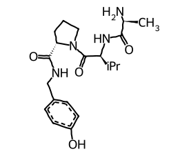 CC(C)[C@H](NC(=O)[C@H](C)N)C(=O)N1CCC[C@H]1C(=O)NCc1ccc(O)cc1